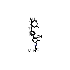 CNC(=O)/C=C/C1C=CC(c2ccc(N(C)[C@H]3C[C@H](C)CCC[C@@](C)(N)C3)nn2)=C(O)C1C